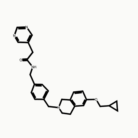 O=C(Cc1cncnc1)NCc1ccc(CN2CCc3cc(OCC4CC4)ccc3C2)cc1